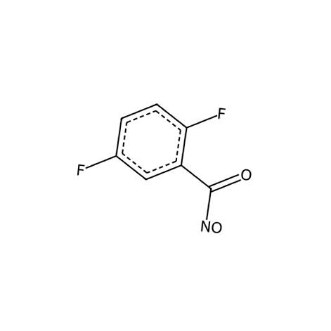 O=NC(=O)c1cc(F)ccc1F